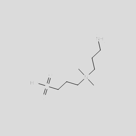 C[N+](C)(CCCN)CCCS(=O)(=O)O